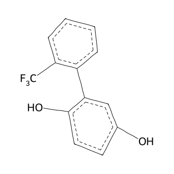 Oc1ccc(O)c(-c2ccccc2C(F)(F)F)c1